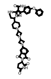 NC(=O)c1c(-c2ccc(Oc3ccccc3)cc2)nn2c1NCCC2C1CCN(C2CN(C3CN(c4ccc5c(c4)C(=O)N(C4CCC(=O)NC4=O)C5=O)C3)C2)CC1